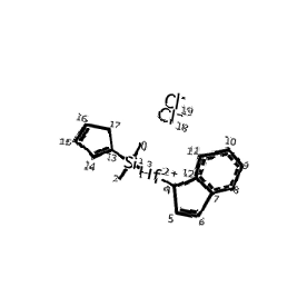 C[Si](C)([Hf+2][CH]1C=Cc2ccccc21)C1=CC=CC1.[Cl-].[Cl-]